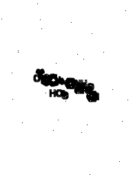 CC(C)C(=O)c1ccc2c(c1)CCN(CC[C@H]1CC[C@H](NC(=O)CNC(=O)c3cccnc3)CC1)CC2.O=CO